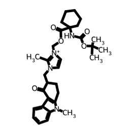 Cc1n(CC2CCc3c(c4ccccc4n3C)C2=O)cc[n+]1COC(=O)C1(NC(=O)OC(C)(C)C)CCCCC1